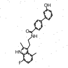 Cc1[nH]c2c(F)ccc(C)c2c1CCNC(=O)c1ccc(-c2cccc(O)c2)cc1